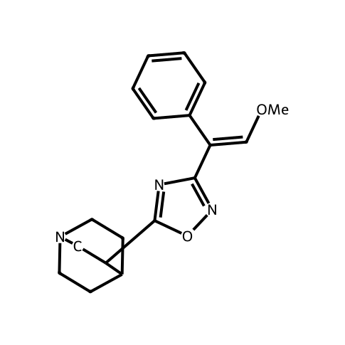 COC=C(c1ccccc1)c1noc(C2CN3CCC2CC3)n1